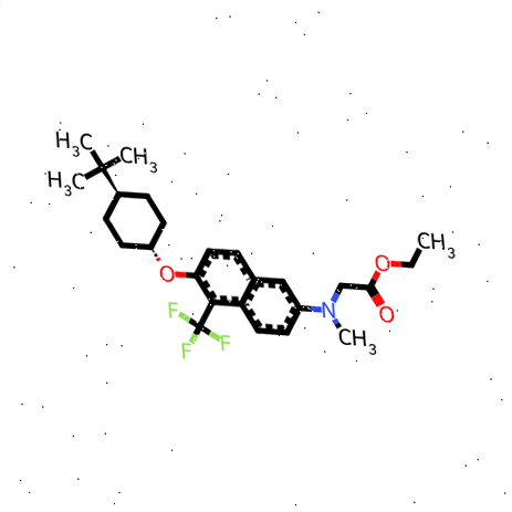 CCOC(=O)CN(C)c1ccc2c(C(F)(F)F)c(O[C@H]3CC[C@H](C(C)(C)C)CC3)ccc2c1